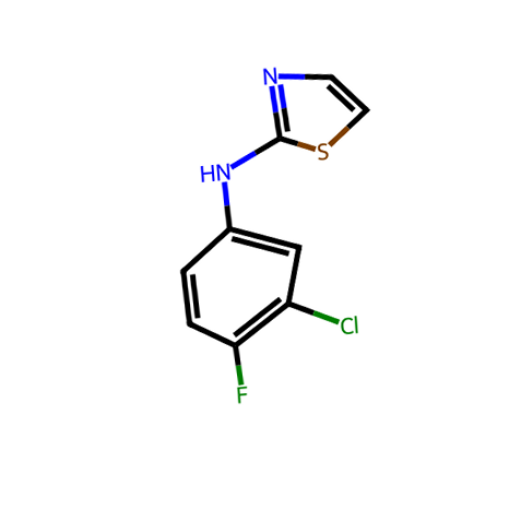 Fc1ccc(Nc2nccs2)cc1Cl